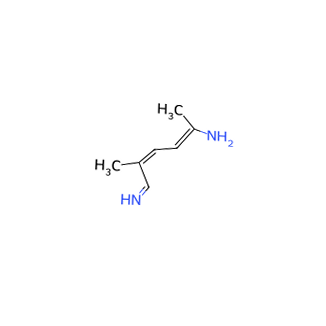 C/C(C=N)=C/C=C(\C)N